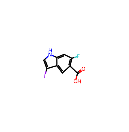 O=C(O)c1cc2c(I)c[nH]c2cc1F